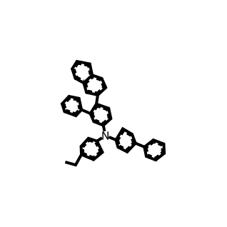 CCc1ccc(N(c2ccc(-c3ccccc3)cc2)c2ccc(-c3ccc4ccccc4c3)c(-c3ccccc3)c2)cc1